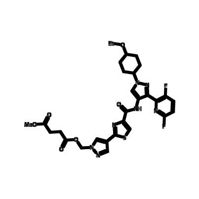 CCOC1CCC(n2cc(NC(=O)c3csc(-c4cnn(COC(=O)CCC(=O)OC)c4)n3)c(-c3nc(F)ccc3F)n2)CC1